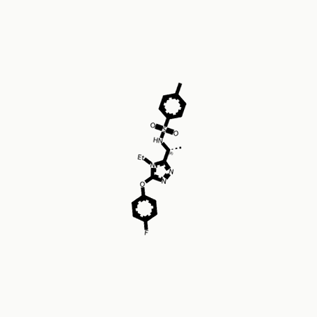 CCn1c(Oc2ccc(F)cc2)nnc1[C@@H](C)NS(=O)(=O)c1ccc(C)cc1